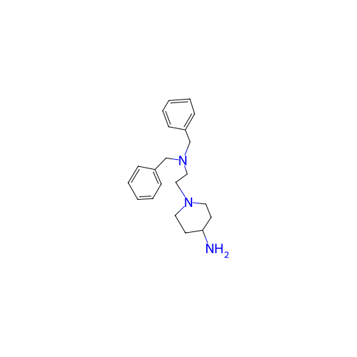 NC1CCN(CCN(Cc2ccccc2)Cc2ccccc2)CC1